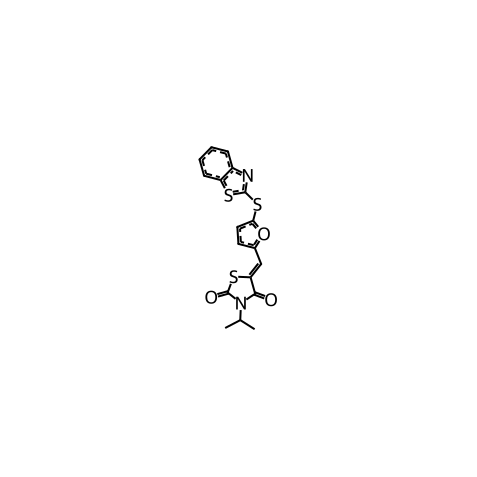 CC(C)N1C(=O)S/C(=C\c2ccc(Sc3nc4ccccc4s3)o2)C1=O